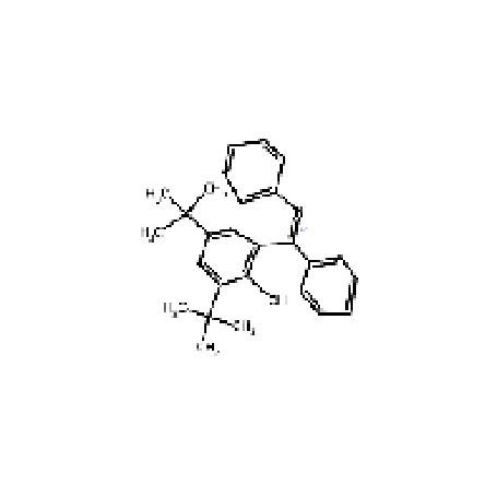 CC(C)(C)c1cc(/C(=N\c2ccccc2)c2ccccc2)c(O)c(C(C)(C)C)c1